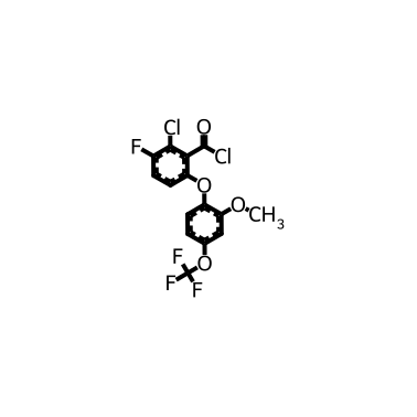 COc1cc(OC(F)(F)F)ccc1Oc1ccc(F)c(Cl)c1C(=O)Cl